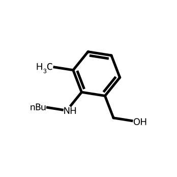 CCCCNc1c(C)cccc1CO